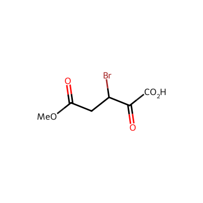 COC(=O)CC(Br)C(=O)C(=O)O